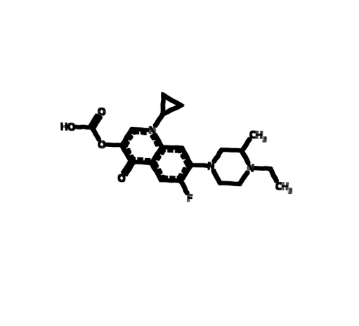 CCN1CCN(c2cc3c(cc2F)c(=O)c(OC(=O)O)cn3C2CC2)CC1C